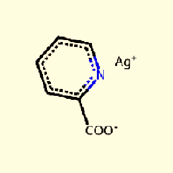 O=C([O-])c1ccccn1.[Ag+]